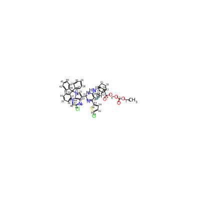 CCOC(=O)OCOC(=O)[C@H]1C2CCC(CC2)[C@@H]1Nc1nc(-c2cn(C(c3ccccc3)(c3ccccc3)c3ccccc3)c3ncc(Cl)nc23)nc(-c2ccc(Cl)s2)c1F